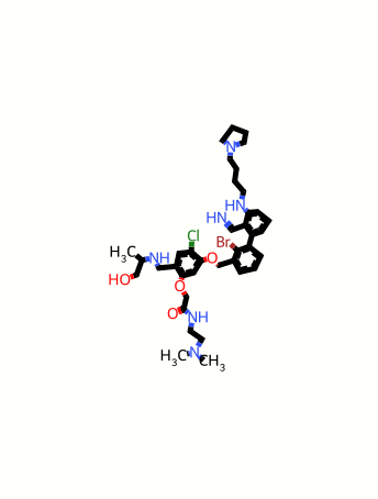 CC(CO)NCc1cc(Cl)c(OCc2cccc(-c3cccc(NCCCCN4CCCC4)c3C=N)c2Br)cc1OCC(=O)NCCN(C)C